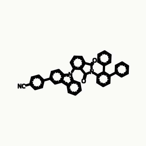 N#Cc1ccc(-c2ccc3c(c2)c2ccccc2n3-c2cccc3c2C(=O)N(c2cccc(-c4ccccc4)c2-c2ccccc2)C3=O)cc1